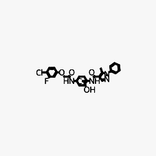 Cc1c(C(=O)NC23CCC(NC(=O)COc4ccc(Cl)c(F)c4)(CC2)CC3O)cnn1-c1ccccc1